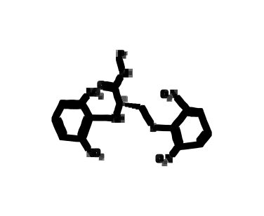 CC(C)NC(=O)[C@H](CSc1c([N+](=O)[O-])cccc1[N+](=O)[O-])Nc1c([N+](=O)[O-])cccc1[N+](=O)[O-]